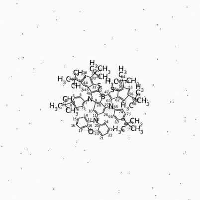 CC(C)(C)c1ccc(N2c3cc(N4c5ccccc5Oc5ccccc54)cc4c3B(c3sc5c(C(C)(C)C)cc(C(C)(C)C)cc5c32)c2sc3c(C(C)(C)C)cc(C(C)(C)C)cc3c2N4c2ccc(C(C)(C)C)cc2)cc1